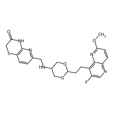 COc1ccc2ncc(F)c(CCC3OCC(NCc4ccc5c(n4)NC(=O)CS5)CO3)c2n1